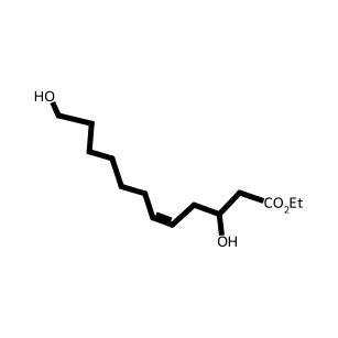 CCOC(=O)CC(O)C/C=C\CCCCCCO